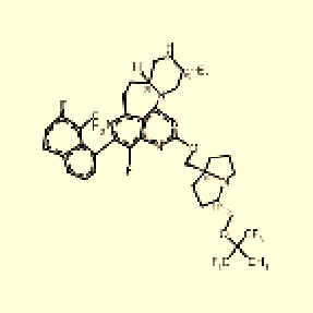 CC[C@@H]1CN2c3nc(OC[C@@]45CCCN4[C@H](COC(C)(C(F)(F)F)C(F)(F)F)CC5)nc4c(F)c(-c5cccc6ccc(F)c(C)c56)nc(c34)CC[C@@H]2CN1